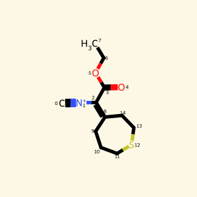 [C-]#[N+]C(C(=O)OCC)=C1CCCSCC1